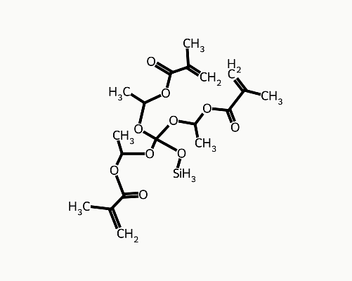 C=C(C)C(=O)OC(C)OC(O[SiH3])(OC(C)OC(=O)C(=C)C)OC(C)OC(=O)C(=C)C